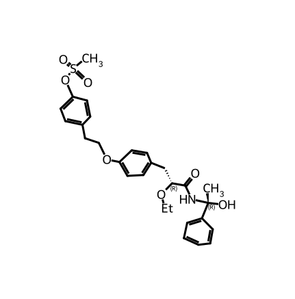 CCO[C@H](Cc1ccc(OCCc2ccc(OS(C)(=O)=O)cc2)cc1)C(=O)N[C@](C)(O)c1ccccc1